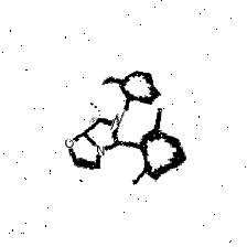 Cc1ccccc1N1C(c2c(C)cccc2C)N2C=COC2[C@@H]1C